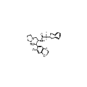 O=C(NC(CN1CCCC1)C(O)c1cc2c(cc1F)OCCO2)C(F)(F)C1Cc2ccccc2C1